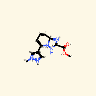 COC(=O)C1N=C2C=CC=C(c3cnn(C)c3)N2N1